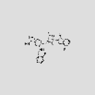 CCO[C@@H](C(=O)NCc1ccc(C(=N)N)cc1NCc1ccccc1F)N1Cc2c(F)cccc2C1=O